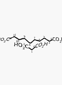 O=C(O)CC(=O)O.O=C(O)CCCCCCCCC(=O)O